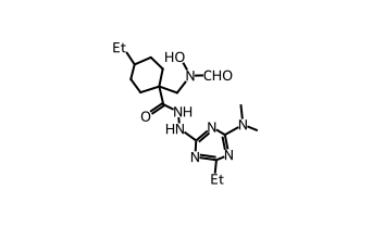 CCc1nc(NNC(=O)C2(CN(O)C=O)CCC(CC)CC2)nc(N(C)C)n1